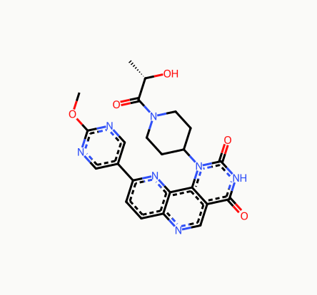 COc1ncc(-c2ccc3ncc4c(=O)[nH]c(=O)n(C5CCN(C(=O)[C@H](C)O)CC5)c4c3n2)cn1